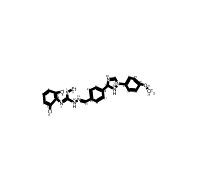 CCS/C(=N\c1c(Cl)cccc1Cl)N/N=C/c1ccc(C2N=CN(c3ccc(OC(F)(F)F)cc3)N2)cc1